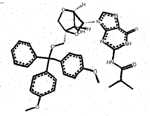 COc1ccc(C(OC[C@@]23CO[C@@H]([C@H](n4cnc5c(=O)[nH]c(NC(=O)C(C)C)nc54)O2)[C@@H]3O)(c2ccccc2)c2ccc(OC)cc2)cc1